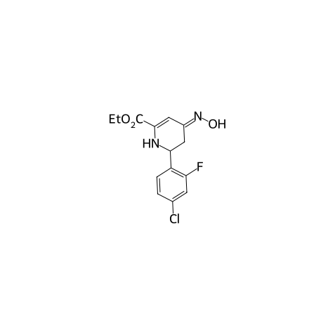 CCOC(=O)C1=C/C(=N/O)CC(c2ccc(Cl)cc2F)N1